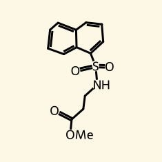 COC(=O)CCNS(=O)(=O)c1cccc2ccccc12